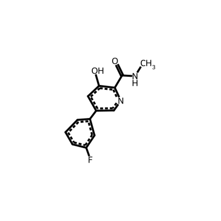 CNC(=O)c1ncc(-c2cccc(F)c2)cc1O